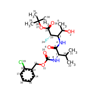 CC(O)C(NC(=O)[C@@H](NC(=O)OCc1ccccc1Cl)C(C)C)[C@H](F)C(=O)OC(C)(C)C